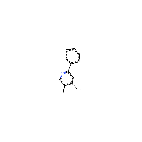 Cc1cnc(-c2ccccc2)cc1C(C)C